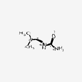 CN(C)CNC(N)=O